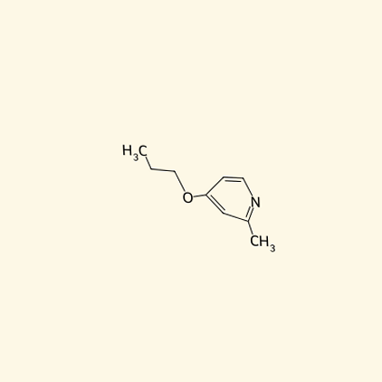 CCCOc1ccnc(C)c1